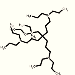 CCCN(CCC)CCCC(CCCN(CCC)CCC)(CCCN(CCC)CCC)C[Si](C)(CC)OCC